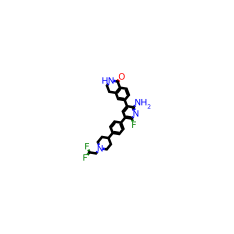 Nc1nc(F)c(-c2ccc(C3CCN(CC(F)F)CC3)cc2)cc1-c1ccc2c(c1)CCNC2=O